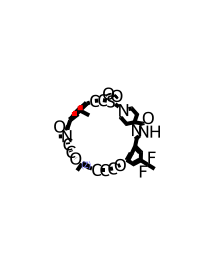 C/C1=C/CCCOc2cc(cc(C(C)(F)F)c2)C2=NC3(CCN(CC3)S(=O)(=O)CCc3ccc(cc3C)C(=O)N(C)CCO1)C(=O)N2